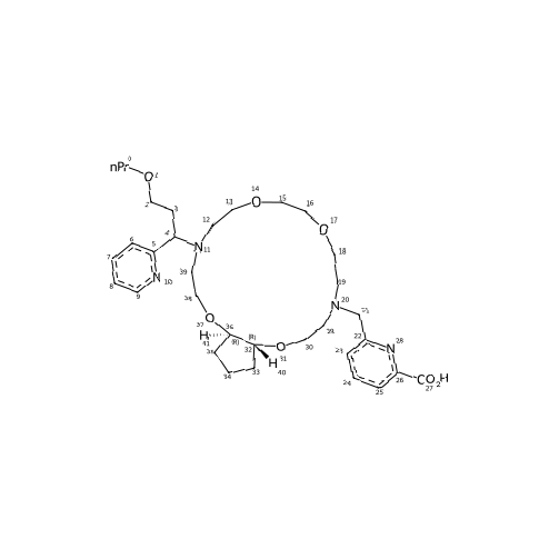 CCCOCCC(c1ccccn1)N1CCOCCOCCN(Cc2cccc(C(=O)O)n2)CCO[C@@H]2CCC[C@H]2OCC1